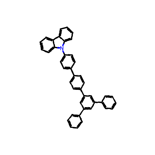 c1ccc(-c2cc(-c3ccccc3)cc(-c3ccc(-c4ccc(-n5c6ccccc6c6ccccc65)cc4)cc3)c2)cc1